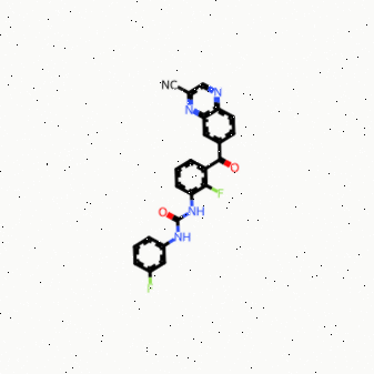 N#Cc1cnc2ccc(C(=O)c3cccc(NC(=O)Nc4cccc(F)c4)c3F)cc2n1